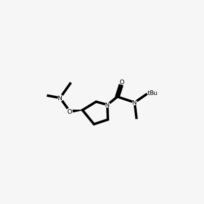 CN(C)O[C@@H]1CCN(C(=O)N(C)C(C)(C)C)C1